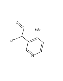 Br.O=CC(Br)c1cccnc1